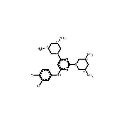 N[C@@H]1C[C@H](N)CN(c2cc(Nc3ccc(Cl)c(Cl)c3)nc(N3C[C@H](N)C[C@H](N)C3)n2)C1